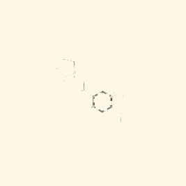 CCc1ccc(COC2CCCC2)cc1C